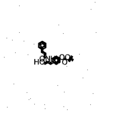 CC(C)(C)OC(=O)Oc1ccc(CC(CO)NC(=O)CCc2ccccc2)cc1